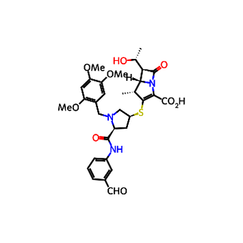 COc1cc(OC)c(OC)cc1CN1C[C@@H](SC2=C(C(=O)O)N3C(=O)[C@H]([C@@H](C)O)[C@H]3[C@H]2C)C[C@H]1C(=O)Nc1cccc(C=O)c1